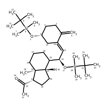 C=C1CC[C@@H](O[Si](C)(C)C(C)(C)C)C/C1=C\[C@@H](O[Si](C)(C)C(C)(C)C)C1CCC[C@]2(C)[C@@H](C(C)=O)CC[C@@H]12